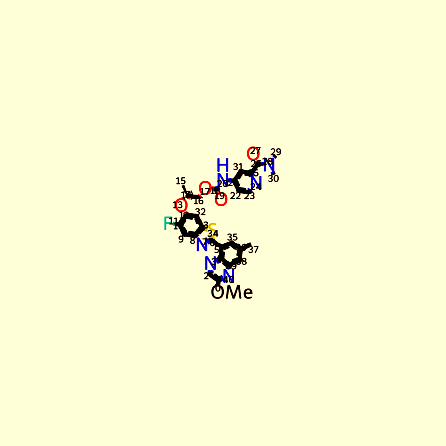 COc1cnc2c(-c3nc4cc(F)c(O[C@@H](C)COC(=O)Nc5ccnc(C(=O)N(C)C)c5)cc4s3)cc(C)cc2n1